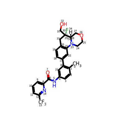 Cc1ccc(NC(=O)c2cccc(C(F)(F)F)n2)cc1-c1ccc2c(c1)N1CCOC[C@H]1[C@](F)(CO)C2